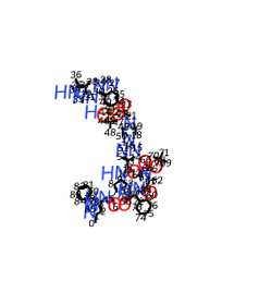 Cc1cc(NC(=O)[C@@H]2C[C@H](NC(=O)c3cnc(N4CCN(CCOc5cc6ncnc(Nc7n[nH]c(C)c7C)c6cc5S(=O)(=O)C(C)(C)C)CC4)nc3)CN2C(=O)[C@@H](NC(=O)[C@H](C)N(C)C(=O)OC(C)(C)C)C2CCCCC2)n(-c2ccccc2)n1